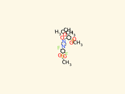 CCCS(=O)(=O)c1cc(F)c(N2CCN(C(=O)c3cc(S(C)(=O)=O)ccc3OC(C)(C)C)CC2)cc1F